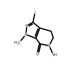 Cn1nc(I)c2c1C(=O)N(S)CC2